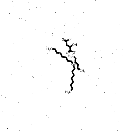 C=CCCCC.CCCCCCC[CH2][Sn+2][CH2]CCCCCCC.O=C([S-])CC(O)C(=O)[O-]